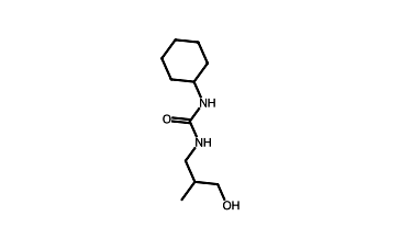 CC(CO)CNC(=O)NC1CCCCC1